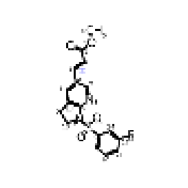 COC(=O)/C=C/c1cnc2c(c1)CCN2S(=O)(=O)c1cccc(F)c1